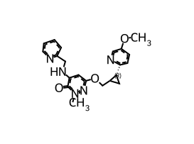 COc1ccc([C@@H]2CC2COc2cc(NCc3ccccn3)c(=O)n(C)n2)nc1